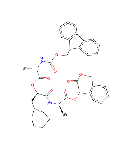 CC(C)[C@H](NC(=O)OCC1c2ccccc2-c2ccccc21)C(=O)O[C@H](CC1CCCCC1)C(=O)N[C@@H](C(=O)O[C@@H](C)C(=O)OCc1ccccc1)C(C)C